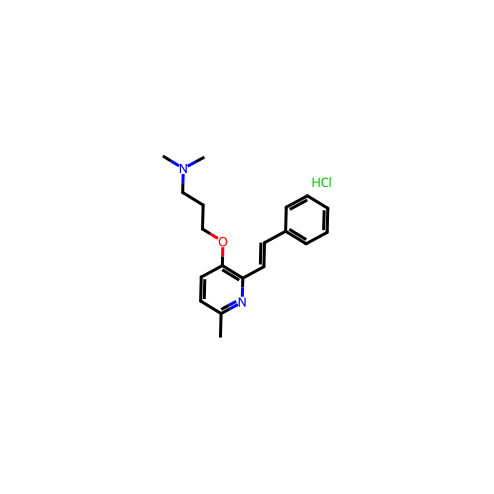 Cc1ccc(OCCCN(C)C)c(/C=C/c2ccccc2)n1.Cl